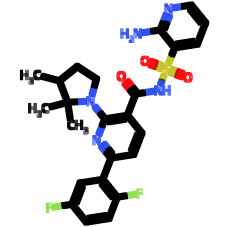 CC1CCN(c2nc(-c3cc(F)ccc3F)ccc2C(=O)NS(=O)(=O)c2cccnc2N)C1(C)C